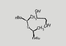 CCCCC(C)OC(C)CCCC.OCCO